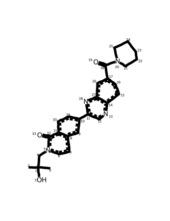 CC(C)(O)Cn1ccc2cc(-c3cnc4ccc(C(=O)N5CCCCC5)cc4n3)ccc2c1=O